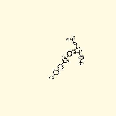 CCO[C@H]1CC[C@@H](C2CC=C(c3cnc(-c4ccc(C[C@H](NC(=O)c5ccc(C(C)(C)C)s5)C(=O)N5CC(C(=O)O)C5)cc4)nc3)CC2)CC1